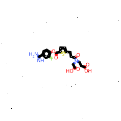 N=C(N)c1ccc(OC(=O)c2ccc(CCC(=O)N(CCC(=O)O)CC(=O)O)s2)c(F)c1